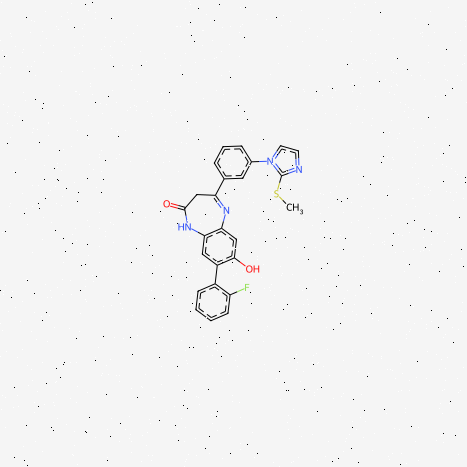 CSc1nccn1-c1cccc(C2=Nc3cc(O)c(-c4ccccc4F)cc3NC(=O)C2)c1